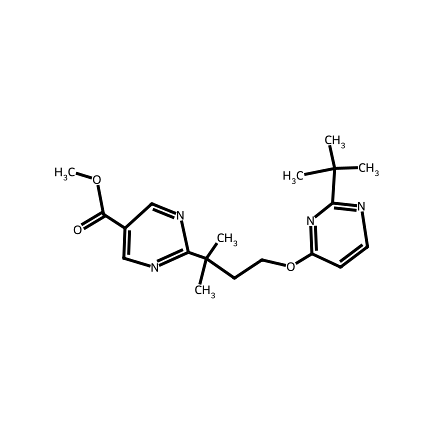 COC(=O)c1cnc(C(C)(C)CCOc2ccnc(C(C)(C)C)n2)nc1